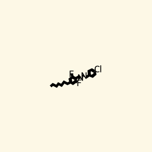 CCCCCCCc1cc(F)c(/C=N/N=C/c2ccc(Cl)cc2)c(F)c1